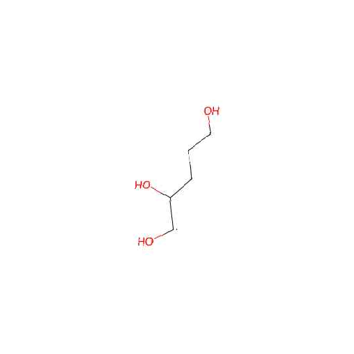 O[CH]C(O)CCCO